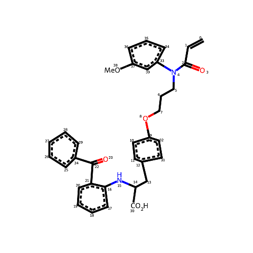 C=CC(=O)N(CCCOc1ccc(CC(Nc2ccccc2C(=O)c2ccccc2)C(=O)O)cc1)c1cccc(OC)c1